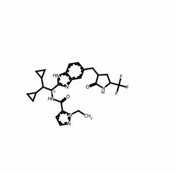 CCn1nccc1C(=O)N[C@H](c1nc2cc(CC3CC(C(F)(F)F)NC3=O)ccc2[nH]1)C(C1CC1)C1CC1